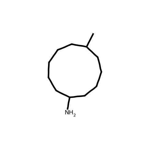 CC1CCCCCC(N)CCCC1